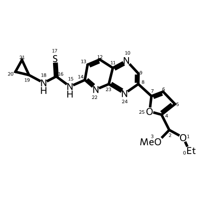 CCOC(OC)c1ccc(-c2cnc3ccc(NC(=S)NC4CC4)nc3n2)o1